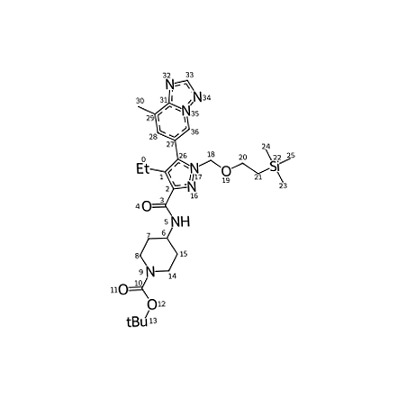 CCc1c(C(=O)NC2CCN(C(=O)OC(C)(C)C)CC2)nn(COCC[Si](C)(C)C)c1-c1cc(C)c2ncnn2c1